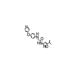 C=C(C)c1cc(NC(=O)CNc2ccc(Oc3ccncc3)cc2)no1